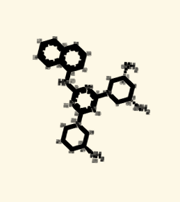 N[C@@H]1C[C@H](N)CN(c2nc(Nc3cccc4ccccc34)nc(N3CCC[C@H](N)C3)n2)C1